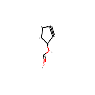 O=[C]OC1C#CCC1